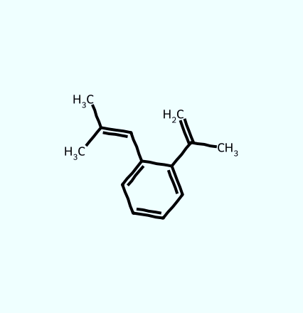 C=C(C)c1ccccc1C=C(C)C